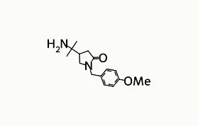 COc1ccc(CN2CC(C(C)(C)N)CC2=O)cc1